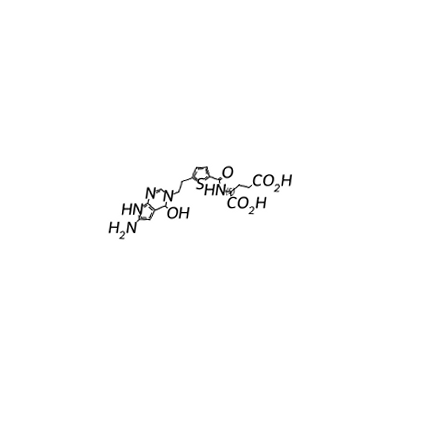 Nc1cc2c([nH]1)N=CN(CCc1ccc(C(=O)N[C@@H](CCC(=O)O)C(=O)O)s1)C2O